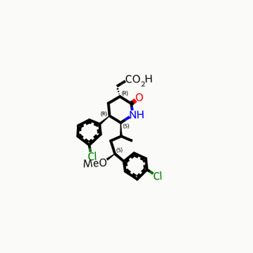 CO[C@@H](CC(C)[C@@H]1NC(=O)[C@@H](CC(=O)O)C[C@@H]1c1cccc(Cl)c1)c1ccc(Cl)cc1